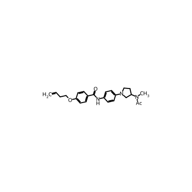 C=CCCOc1ccc(C(=O)Nc2ccc(N3CCC(N(C)C(C)=O)C3)cc2)cc1